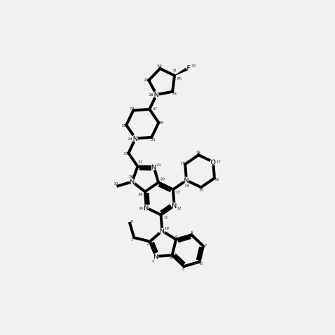 CCc1nc2ccccc2n1-c1nc(N2CCOCC2)c2nc(CN3CCC(N4CC[C@@H](F)C4)CC3)n(C)c2n1